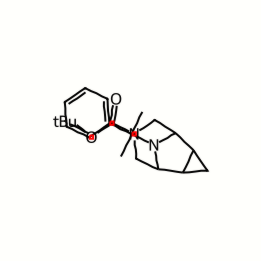 CC(C)(C)OC(=O)N1CC2C3CC3C(C1)N2C(C)(C)c1ccccc1